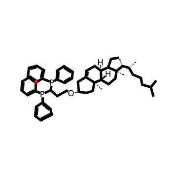 CC(C)CCC[C@@H](C)[C@H]1CCC2[C@@H]3CC=C4C[C@@H](OCCC(P(c5ccccc5)c5ccccc5)P(c5ccccc5)c5ccccc5)CC[C@]4(C)[C@H]3CC[C@@]21C